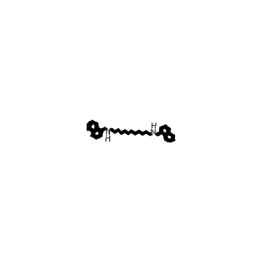 c1ccc2c(CNCCCCCCCCCCCCNCc3cccc4ccccc34)cccc2c1